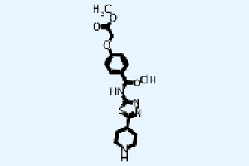 COC(=O)COc1ccc(C(=O)Nc2nnc(C3CCNCC3)s2)cc1.Cl